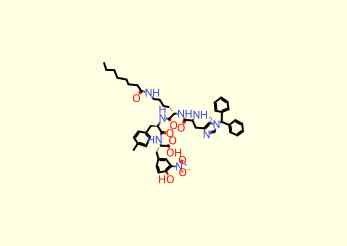 CCCCCCCC(=O)NCCCC[C@H](NC(=O)[C@@H](N)Cc1cn(C(c2ccccc2)c2ccccc2)cn1)C(=O)N[C@H](Cc1ccc(C)cc1)C(=O)N[C@@H](Cc1ccc(O)c([N+](=O)[O-])c1)C(=O)O